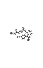 CCc1ccc(-c2c(Br)oc3ncnc(OC[C@H](C)OCCC(=O)OC(C)(C)C)c23)cc1